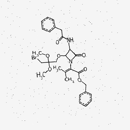 COC(CBr)(COC1C(NC(=O)Cc2ccccc2)C(=O)N1C(C(=O)OCc1ccccc1)=C(C)C)OC